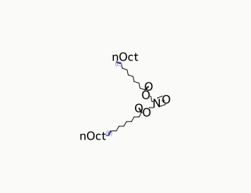 CCCCCCCC/C=C/CCCCCCCC(=O)OCC[N+]1(CCOC(=O)CCCCCCC/C=C/CCCCCCCC)CCOCC1